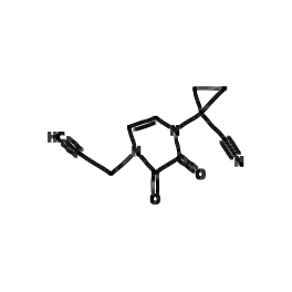 C#CCn1ccn(C2(C#N)CC2)c(=O)c1=O